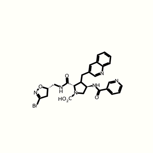 O=C(N[C@H]1CN(C(=O)O)[C@H](C(=O)NC[C@@H]2CC(Br)=NO2)C1Cc1cnc2ccccc2c1)c1cccnc1